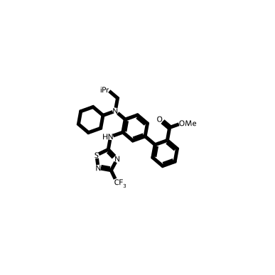 COC(=O)c1ccccc1-c1ccc(N(CC(C)C)C2CCCCC2)c(Nc2nc(C(F)(F)F)ns2)c1